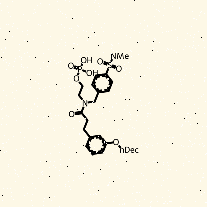 CCCCCCCCCCOc1cccc(CCC(=O)N(CCOP(=O)(O)O)Cc2ccc(S(=O)(=O)NC)cc2)c1